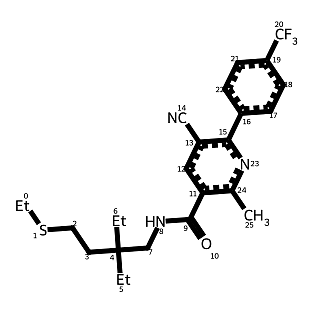 CCSCCC(CC)(CC)CNC(=O)c1cc(C#N)c(-c2ccc(C(F)(F)F)cc2)nc1C